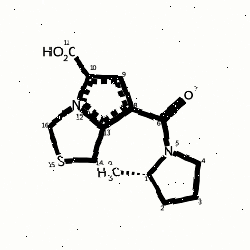 C[C@H]1CCCN1C(=O)c1cc(C(=O)O)n2c1CSC2